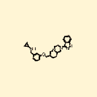 c1cc(CNC2CC2)cc(OCC2CCC3CN(c4noc5ccccc45)CCN3C2)c1